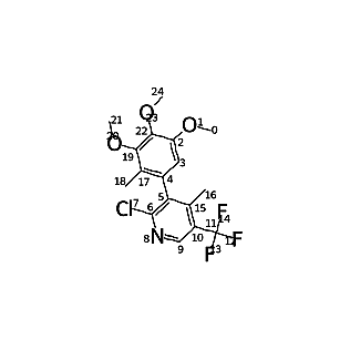 COc1cc(-c2c(Cl)ncc(C(F)(F)F)c2C)c(C)c(OC)c1OC